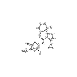 O=C(O[C@H]1C[C@@H]2C[C@H]1CN2C(=O)O)c1c(-c2c(Cl)cccc2Cl)noc1C1CC1